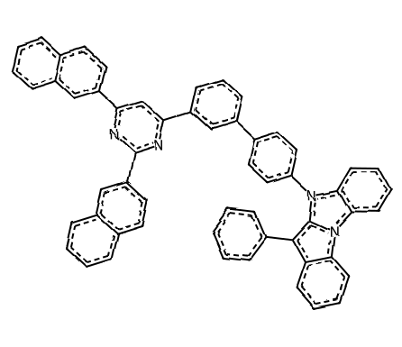 c1ccc(-c2c3ccccc3n3c4ccccc4n(-c4ccc(-c5cccc(-c6cc(-c7ccc8ccccc8c7)nc(-c7ccc8ccccc8c7)n6)c5)cc4)c23)cc1